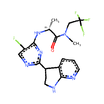 C[C@@H](Nc1nc(C2CNc3ncccc32)ncc1F)C(=O)N(C)CC(F)(F)F